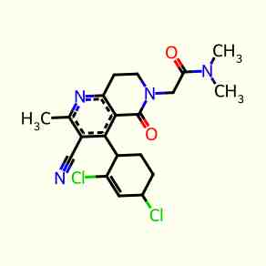 Cc1nc2c(c(C3CCC(Cl)C=C3Cl)c1C#N)C(=O)N(CC(=O)N(C)C)CC2